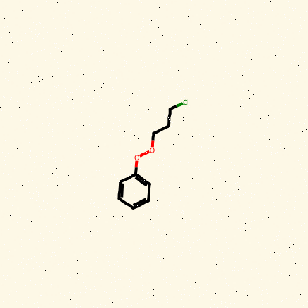 ClCCCOOc1ccccc1